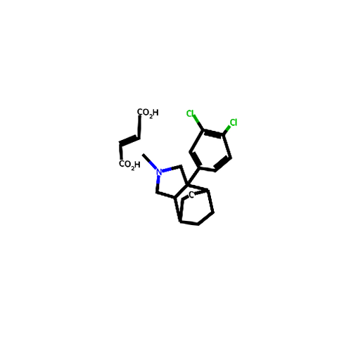 CN1CC2C3CCC(CC3)C2(c2ccc(Cl)c(Cl)c2)C1.O=C(O)C=CC(=O)O